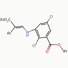 CCOC(=O)C(=CNc1cc(Cl)cc(C(=O)OC(C)C)c1Cl)C(C)=O